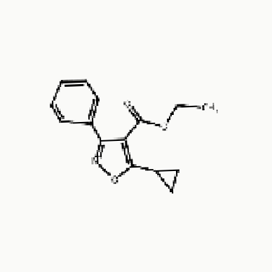 CCOC(=O)c1c(-c2ccccc2)noc1C1CC1